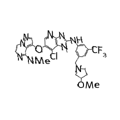 CNc1nccn2ncc(Oc3cnc4nc(Nc5cc(CN6CCC(OC)C6)cc(C(F)(F)F)c5)n(C)c4c3Cl)c12